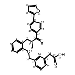 CN(Cc1ccccc1OCc1cccc(CC(=O)O)c1)C(=O)c1ccc(-c2ccco2)cc1